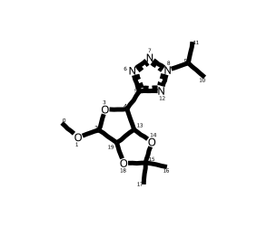 COC1OC(c2nnn(C(C)C)n2)C2OC(C)(C)OC12